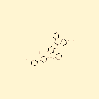 N#Cc1ccc(-c2nc3cc(C(F)(F)F)c4c(-c5ccc(-c6cc(C#N)cc(C#N)c6)cc5)nc5ccccc5c4c3nc2-c2ccc(C#N)cc2)cc1